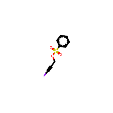 O=S(=O)(OCC#CI)c1ccccc1